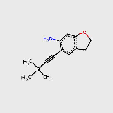 C[Si](C)(C)C#Cc1cc2c(cc1N)OCC2